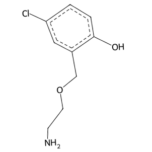 NCCOCc1cc(Cl)ccc1O